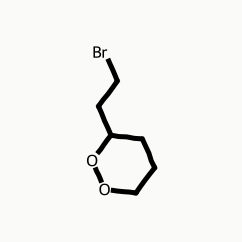 BrCCC1CCCOO1